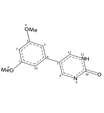 COc1cc(OC)cc(-c2cnc(=O)[nH]c2)c1